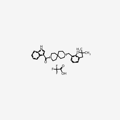 CC1(C)Cc2cccc(CN3CCC4(CC3)CCN(C(=O)c3c[nH]c5ccccc35)CC4)c2O1.O=C(O)C(F)(F)F